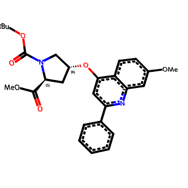 COC(=O)[C@@H]1C[C@@H](Oc2cc(-c3ccccc3)nc3cc(OC)ccc23)CN1C(=O)OC(C)(C)C